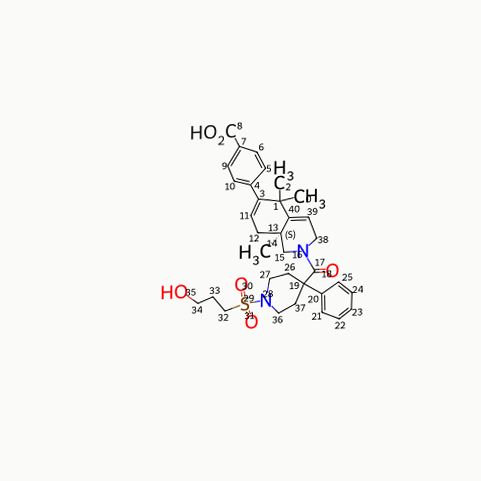 CC1(C)C(c2ccc(C(=O)O)cc2)=CC[C@]2(C)CN(C(=O)C3(c4ccccc4)CCN(S(=O)(=O)CCCO)CC3)CC=C12